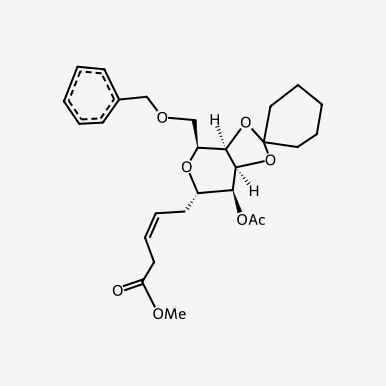 COC(=O)C/C=C\C[C@@H]1O[C@@H](COCc2ccccc2)[C@H]2OC3(CCCCC3)O[C@H]2[C@H]1OC(C)=O